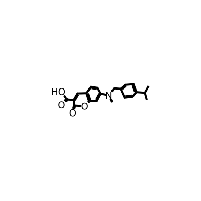 CC(C)c1ccc(CN(C)c2ccc3cc(C(=O)O)c(=O)oc3c2)cc1